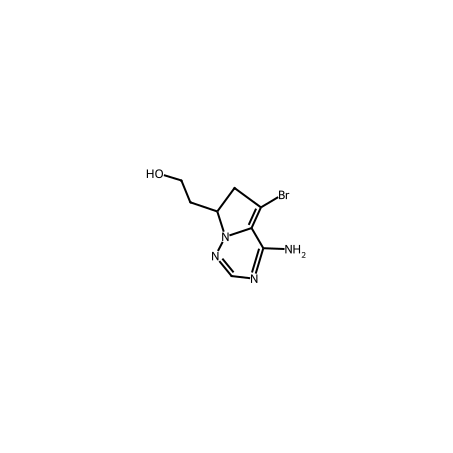 NC1=NC=NN2C1=C(Br)CC2CCO